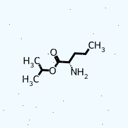 CCC[C@H](N)C(=O)OC(C)C